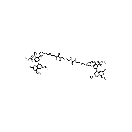 Cc1cc(Cl)cc2c1CN(C)CC2c1cc([C@H]2CCN(CCOCCNC(=O)NCCCCNC(=O)NCCOCCN3CC[C@H](c4cc(C5CN(C)Cc6c(C)cc(Cl)cc65)cc(S(N)(=O)=O)c4C)C3)C2)c(C)c(S(N)(=O)=O)c1